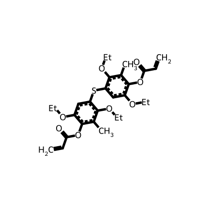 C=CC(=O)Oc1c(OCC)cc(Sc2cc(OCC)c(OC(=O)C=C)c(C)c2OCC)c(OCC)c1C